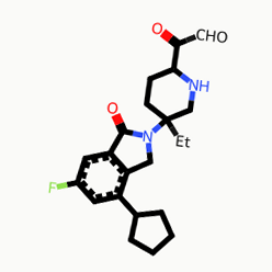 CCC1(N2Cc3c(cc(F)cc3C3CCCC3)C2=O)CCC(C(=O)C=O)NC1